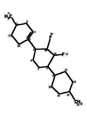 CC1CC=C(C2CCC(C3CCC(C)CC3)C(F)C2F)CC1